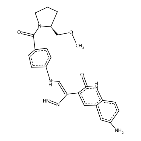 COC[C@@H]1CCCN1C(=O)c1ccc(N/C=C(\N=N)c2cc3cc(N)ccc3[nH]c2=O)cc1